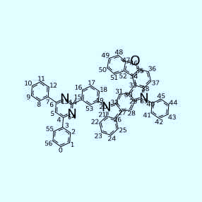 c1ccc(-c2cc(-c3ccccc3)nc(-c3cccc(-n4c5ccccc5c5cc6c(cc54)c4c5c(ccc4n6-c4ccccc4)oc4ccccc45)c3)n2)cc1